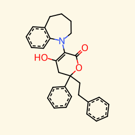 O=C1OC(CCc2ccccc2)(c2ccccc2)CC(O)=C1N1CCCCc2ccccc21